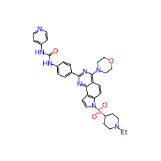 CCN1CCC(S(=O)(=O)n2ccc3c4nc(-c5ccc(NC(=O)Nc6ccncc6)cc5)nc(N5CCOCC5)c4ccc32)CC1